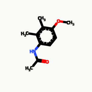 COc1ccc(NC(C)=O)c(C)c1C